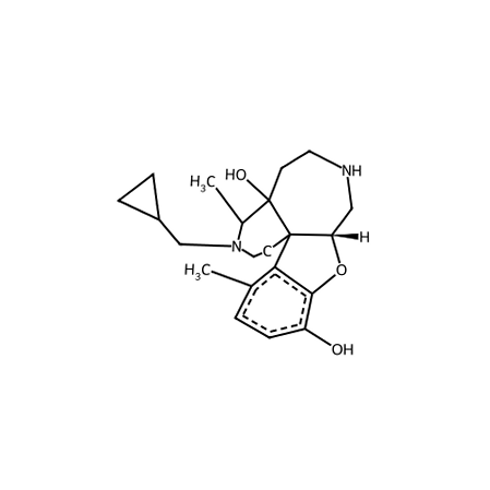 Cc1ccc(O)c2c1C13CCN(CC4CC4)C(C)C1(O)CCNC[C@@H]3O2